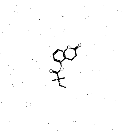 CCC(C)(C)C(=O)Oc1cccc2c1CCC(=O)O2